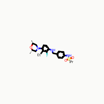 CCc1c(N2C[C@@H](C)O[C@@H](C)C2)ccc(NCc2ccc(NS(=O)(=O)C(C)C)cc2)c1F